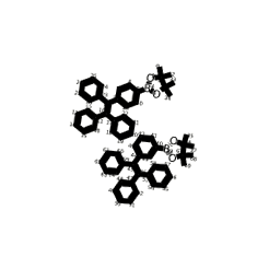 CC1(C)OB(c2ccc(C(=C(c3ccccc3)c3ccccc3)c3ccccc3)cc2)OC1(C)C.CC1(C)OB(c2cccc(C(=C(c3ccccc3)c3ccccc3)c3ccccc3)c2)OC1(C)C